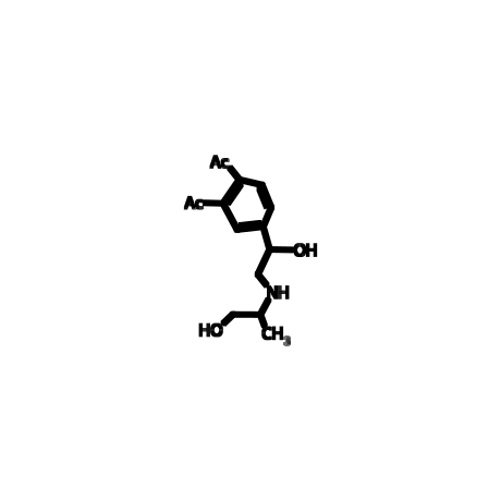 CC(=O)c1ccc(C(O)CNC(C)CO)cc1C(C)=O